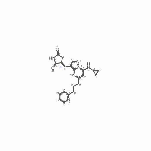 O=C1C/C(=C\c2cnn3c(NC4CC4)cc(CCCc4ccccn4)nc23)C(=O)N1